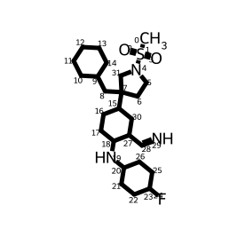 CS(=O)(=O)N1CCC(CC2CCCCC2)(C2CCC(NC3CCC(F)CC3)C(C=N)C2)C1